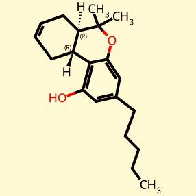 CCCCCc1cc(O)c2c(c1)OC(C)(C)[C@@H]1CC=CC[C@@H]21